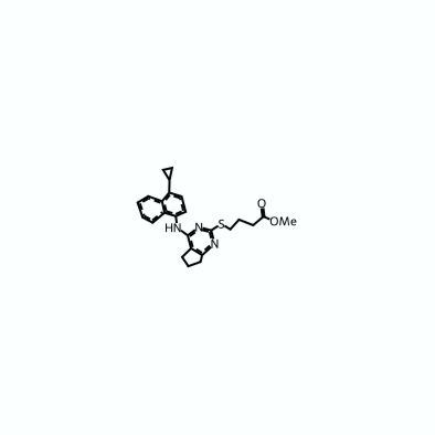 COC(=O)CCCSc1nc2c(c(Nc3ccc(C4CC4)c4ccccc34)n1)CCC2